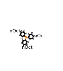 CCCCCCCCc1ccc(P(c2ccc(CCCCCCCC)cc2)c2ccc(CCCCCCCC)cc2)cc1